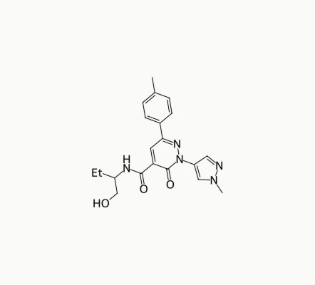 CCC(CO)NC(=O)c1cc(-c2ccc(C)cc2)nn(-c2cnn(C)c2)c1=O